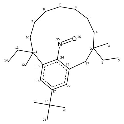 CCC1(C)CCCCCCCC(C)(CC)c2cc(C(C)(C)C)cc(c2N=O)C1